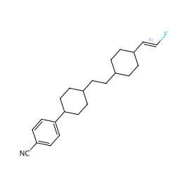 N#Cc1ccc(C2CCC(CCC3CCC(/C=C/F)CC3)CC2)cc1